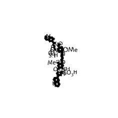 COc1cc2c(cc1OCCCOc1cc3c(cc1OC)C(=O)N1C=C(c4ccc5ncccc5c4)C[C@H]1C(S(=O)(=O)O)N3)NC(OOOS)[C@@H]1CC(c3ccc4ncccc4c3)=CN1C2=O